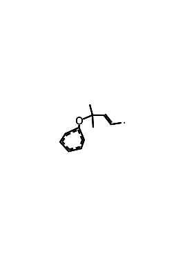 [CH2]C=CC(C)(C)Oc1ccccc1